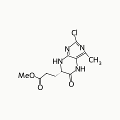 COC(=O)CC[C@@H]1Nc2nc(Cl)nc(C)c2NC1=O